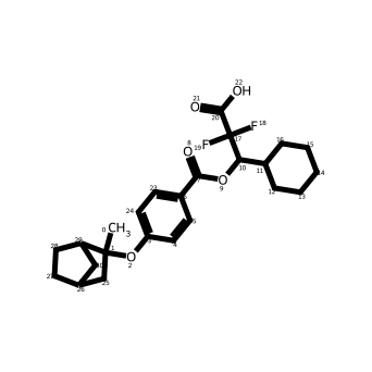 CC1(Oc2ccc(C(=O)OC(C3CCCCC3)C(F)(F)C(=O)O)cc2)CC2CCC1C2